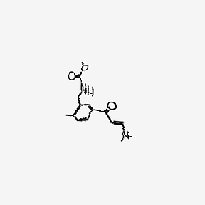 COC(=O)NCc1cc(C(=O)C=CN(C)C)ccc1C